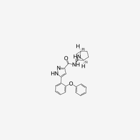 O=C(N[C@H]1C[C@H]2CC[C@@H]1N2)c1cc(-c2ccccc2Oc2ccccc2)[nH]n1